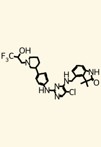 CC1(C)C(=O)Nc2cccc(CNc3nc(Nc4ccc(C5CCCN(CC(O)C(F)(F)F)C5)cc4)ncc3Cl)c21